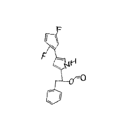 O=COC(Cc1ccccc1)c1cc(-c2cc(F)ccc2F)c[nH]1